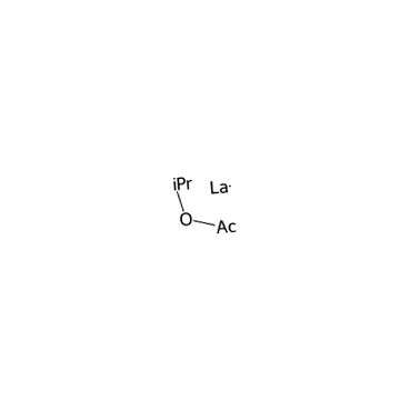 CC(=O)OC(C)C.[La]